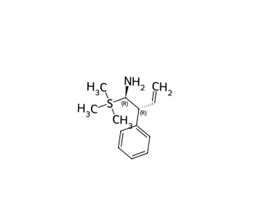 C=C[C@H](c1ccccc1)[C@H](N)S(C)(C)C